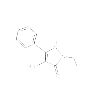 CCn1[nH]c(-c2ccccc2)c(C)c1=O